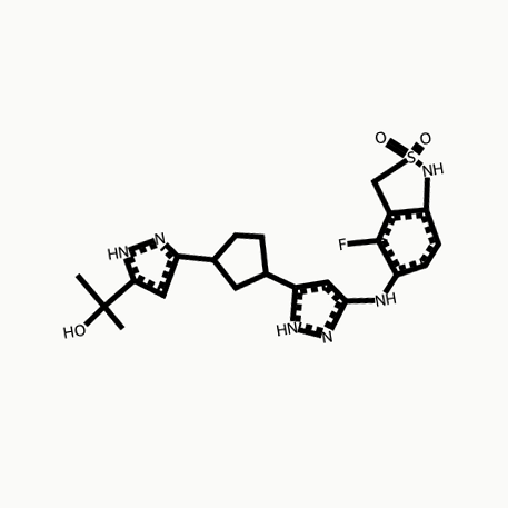 CC(C)(O)c1cc(C2CCC(c3cc(Nc4ccc5c(c4F)CS(=O)(=O)N5)n[nH]3)C2)n[nH]1